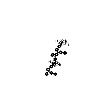 CC1(C)OB(c2ccc(-c3cccc(N(c4ccc(-c5ccccc5)cc4)c4ccc5c(c4)c4ccccc4n5-c4ccc(CC5(C)OB(c6ccc(-c7cccc(N(c8ccccc8)c8ccc(-c9ccccc9)cc8)c7)cc6)OC5(C)C)cc4)c3)cc2)OC1(C)C